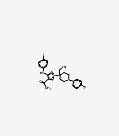 N#CCC1(n2cc(C(N)=O)c(Nc3ccc(F)cc3)n2)CCN(c2ccc(F)cc2)CC1